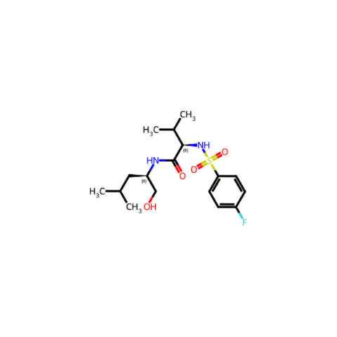 CC(C)C[C@H](CO)NC(=O)[C@H](NS(=O)(=O)c1ccc(F)cc1)C(C)C